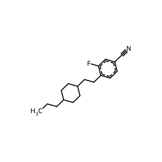 CCCC1CCC(CCc2ccc(C#N)cc2F)CC1